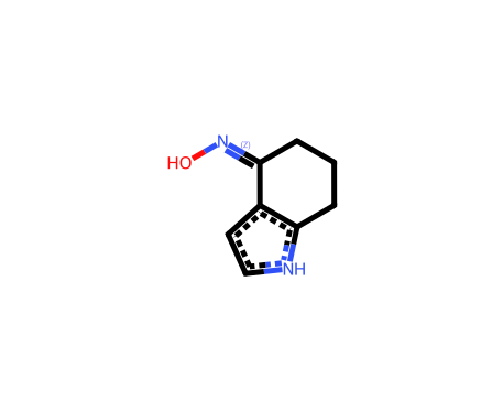 O/N=C1/CCCc2[nH]ccc21